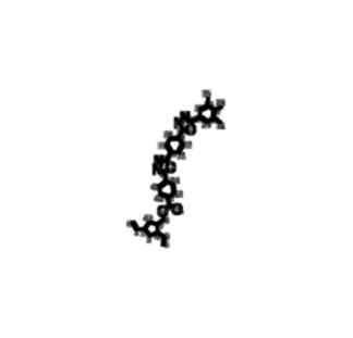 C=CC1CC(C=C)C(COC(=O)c2ccc(-c3nnc(-c4ccc(-c5nnc(-c6cc(C)c(C)c(C)c6)o5)cc4)o3)cc2)C1